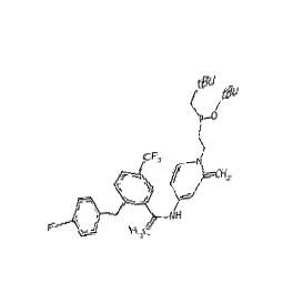 C=C(NC1=CC(=C)N(CCP(CC(C)(C)C)OC(C)(C)C)C=C1)c1cc(C(F)(F)F)ccc1Cc1ccc(F)cc1